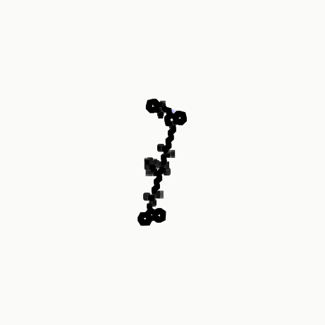 C[n+]1c(/C=C2\C=CN(CCCCCC(=O)NCCNC(=O)C(CCCCNC(=O)OCC3c4ccccc4-c4ccccc43)NC(=O)OC(C)(C)C)c3ccccc32)sc2ccccc21